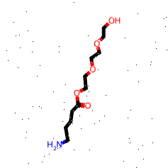 NCCCCC(=O)OCCOCCOCCO